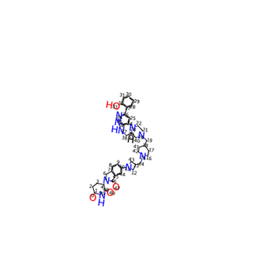 O=C1CCC(N2Cc3ccc(N4CC(CN5CCC(CN6CCN7c8cc(-c9ccccc9O)nnc8NC[C@H]7C6)CC5)C4)cc3C2=O)C(=O)N1